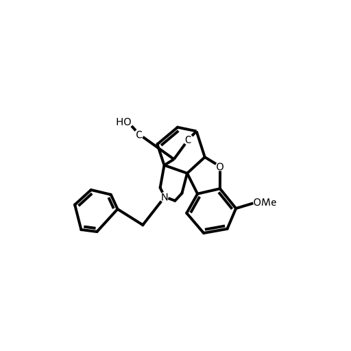 COc1cccc2c1OC1C3C=CC4(CN(Cc5ccccc5)CCC214)C(CO)C3